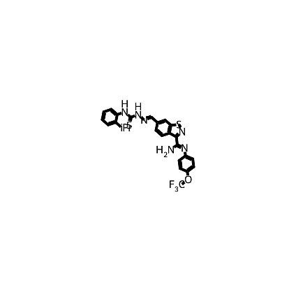 CC(C)c1ccccc1NC(=S)N/N=C/c1ccc2c(/C(N)=N/c3ccc(OC(F)(F)F)cc3)nsc2c1